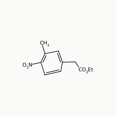 CCOC(=O)Cc1ccc([N+](=O)[O-])c(C)c1